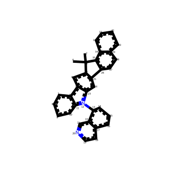 CC1(C)c2cc3c4ccccc4n(-c4cccc5ccncc45)c3cc2-c2ccc3ccccc3c21